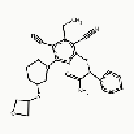 CCc1c(C#N)c(SC(C(N)=O)c2ccccc2)nc(N2CCC[C@H](NC3COC3)C2)c1C#N